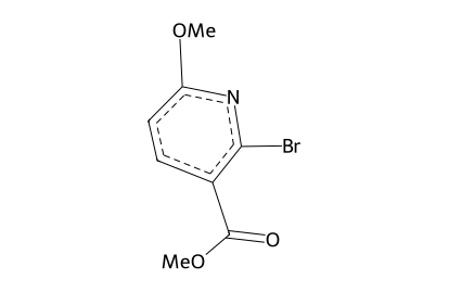 COC(=O)c1ccc(OC)nc1Br